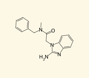 CN(Cc1ccccc1)C(=O)Cn1c(N)nc2ccccc21